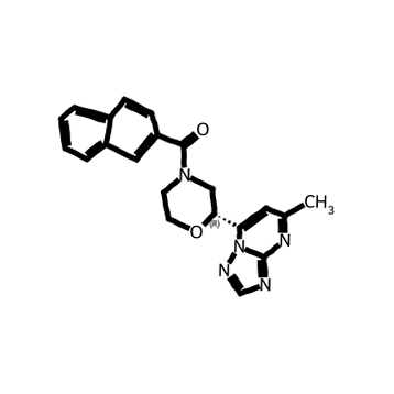 Cc1cc([C@H]2CN(C(=O)c3ccc4ccccc4c3)CCO2)n2ncnc2n1